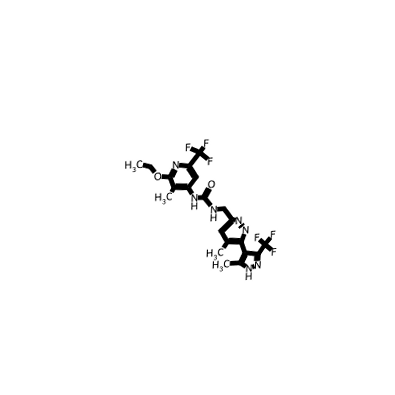 CCOc1nc(C(F)(F)F)cc(NC(=O)NCc2cc(C)c(-c3c(C(F)(F)F)n[nH]c3C)nn2)c1C